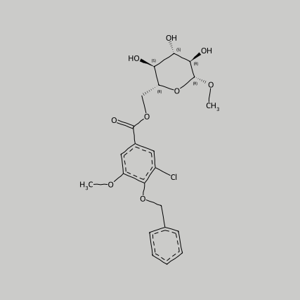 COc1cc(C(=O)OC[C@H]2O[C@@H](OC)[C@H](O)[C@@H](O)[C@@H]2O)cc(Cl)c1OCc1ccccc1